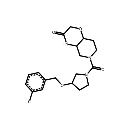 O=C1COC2CCN(C(=O)N3CCC(OCc4cccc(Cl)c4)C3)CC2N1